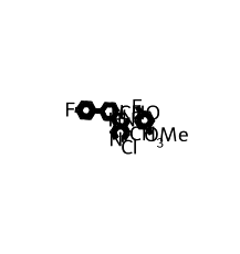 COc1ccc(F)c(Nc2c(C3CC(c4ccc(F)cc4)CCN3C=O)cnc(Cl)c2C)c1